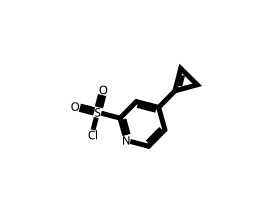 O=S(=O)(Cl)c1cc(C2=CC2)ccn1